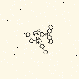 c1ccc(-c2ccc(-c3nc(-c4cccc(-c5ccccc5)c4)nc(-c4cc(-n5c6cc7ccccc7cc6c6cc7ccccc7cc65)cc5oc6ccccc6c45)n3)cc2)cc1